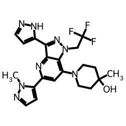 Cn1nccc1-c1cc(N2CCC(C)(O)CC2)c2c(n1)c(-c1ccn[nH]1)nn2CC(F)(F)F